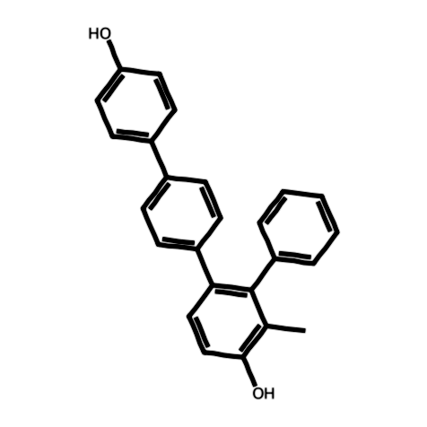 Cc1c(O)ccc(-c2ccc(-c3ccc(O)cc3)cc2)c1-c1ccccc1